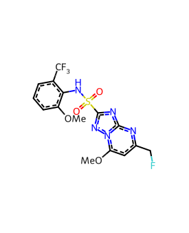 COc1cccc(C(F)(F)F)c1NS(=O)(=O)c1nc2nc(CF)cc(OC)n2n1